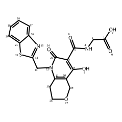 O=C(O)CNC(=O)c1c(O)c2c(n(Cc3nc4ccccc4s3)c1=O)CCOC2